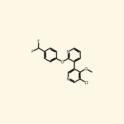 COc1c(Cl)cncc1-c1cccnc1Oc1ccc(C(F)F)cc1